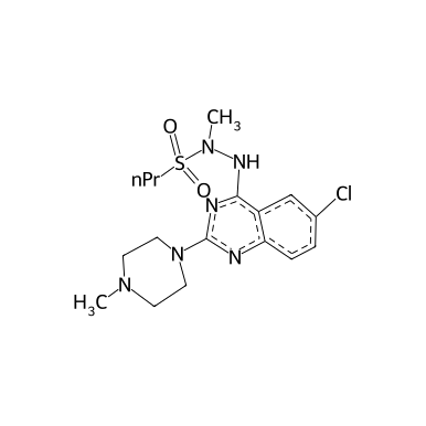 CCCS(=O)(=O)N(C)Nc1nc(N2CCN(C)CC2)nc2ccc(Cl)cc12